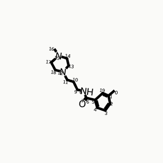 Cc1cccc(C(=O)NCCCN2CCN(C)CC2)c1